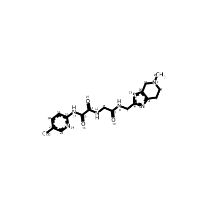 CN1CCc2nc(CNC(=O)CNC(=O)C(=O)Nc3ccc(Cl)cn3)sc2C1